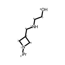 CC(C)N1CC(CNCCO)C1